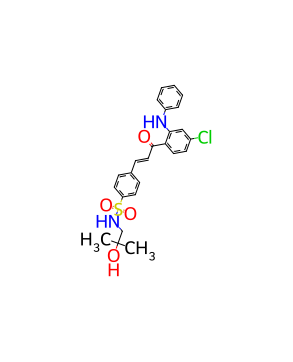 CC(C)(O)CNS(=O)(=O)c1ccc(/C=C/C(=O)c2ccc(Cl)cc2Nc2ccccc2)cc1